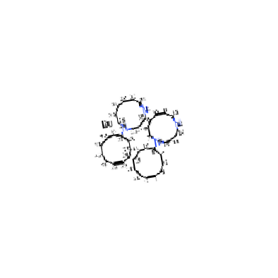 C1=CCCCC(N2CCCCCC=NCCC2)CCCCC1.C1=CCCCC(N2CCCCCC=NCCC2)CCCCC1.[Ru]